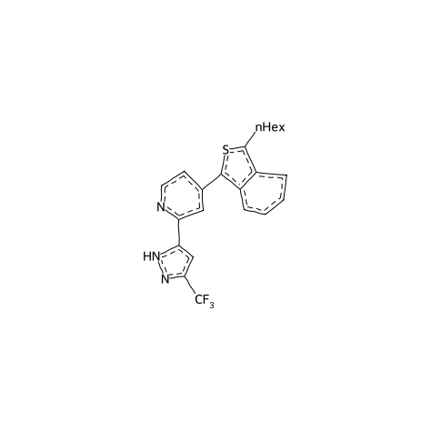 CCCCCCc1sc(-c2ccnc(-c3cc(C(F)(F)F)n[nH]3)c2)c2ccccc12